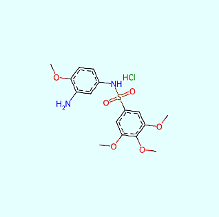 COc1ccc(NS(=O)(=O)c2cc(OC)c(OC)c(OC)c2)cc1N.Cl